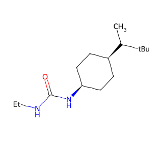 CCNC(=O)N[C@H]1CC[C@@H](C(C)C(C)(C)C)CC1